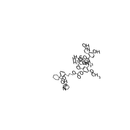 COc1cc(OCC(=O)OCCCc2cccc(C3(C(=O)O[C@H]4CN5CCC4CC5)CCCCC3)c2)c(Cl)cc1CNC[C@@H](O[Si](C)(C)C(C)(C)C)c1ccc(O)c2[nH]c(=O)ccc12